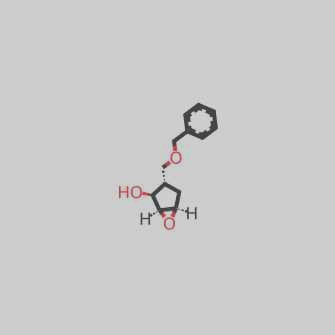 O[C@H]1[C@H](COCc2ccccc2)C[C@H]2O[C@@H]12